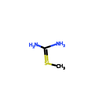 C[S+]=C(N)N